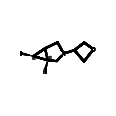 I[C@@H]1C2CN(C3COC3)C[C@H]21